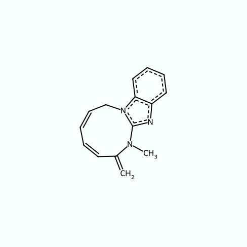 C=C1/C=C\C=C/Cn2c(nc3ccccc32)N1C